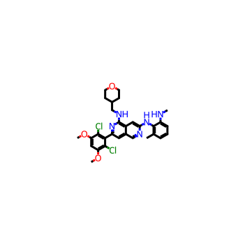 CNc1cccc(C)c1Nc1cc2c(NCC3CCOCC3)nc(-c3c(Cl)c(OC)cc(OC)c3Cl)cc2cn1